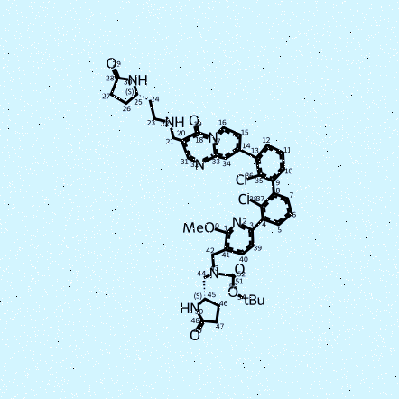 COc1nc(-c2cccc(-c3cccc(-c4ccn5c(=O)c(CNCC[C@@H]6CCC(=O)N6)cnc5c4)c3Cl)c2Cl)ccc1CN(C[C@@H]1CCC(=O)N1)C(=O)OC(C)(C)C